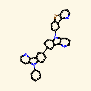 c1ccc(-n2c3ccc(-c4ccc5c(c4)c4ncccc4n5-c4ccc5sc6cccnc6c5c4)cc3c3ncccc32)cc1